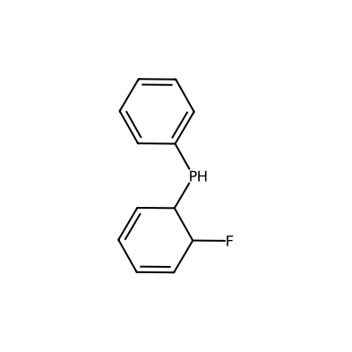 FC1C=CC=CC1Pc1ccccc1